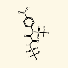 O=C(NS(=O)(=O)C(F)(F)F)C(=O)N(c1ccc([N+](=O)[O-])cc1)S(=O)(=O)C(F)(F)F